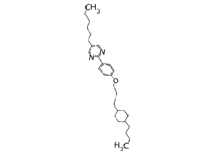 CCCCCCc1cnc(-c2ccc(OCCCC3CCC(CCCC)CC3)cc2)nc1